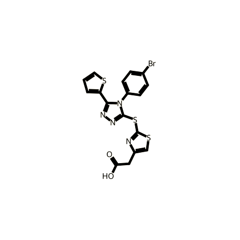 O=C(O)Cc1csc(Sc2nnc(-c3cccs3)n2-c2ccc(Br)cc2)n1